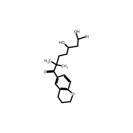 CCC(O)CC(O)CCC(C)(C)C(=O)c1ccc2c(c1)CCCO2